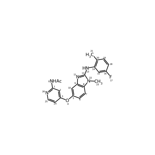 CC(=O)Nc1cc(Oc2ccc3c(c2)nc(Nc2cc(F)ccc2C)n3C)ccn1